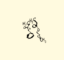 C=CC(=O)OCCOC.C=CC(=O)OCc1ccccc1